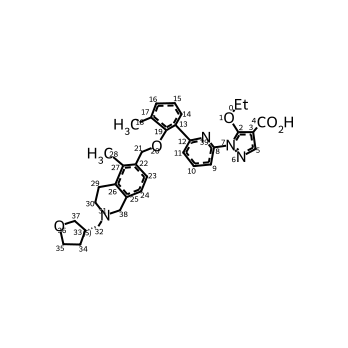 CCOc1c(C(=O)O)cnn1-c1cccc(-c2cccc(C)c2OCc2ccc3c(c2C)CCN(C[C@@H]2CCOC2)C3)n1